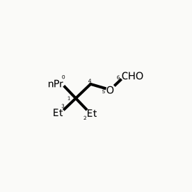 CCCC(CC)(CC)COC=O